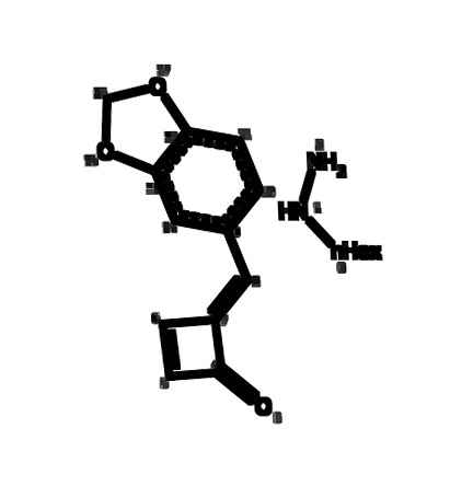 CCCCCCNN.O=C1C=CC1=Cc1ccc2c(c1)OCO2